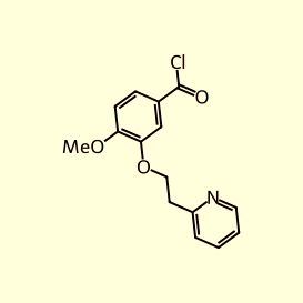 COc1ccc(C(=O)Cl)cc1OCCc1ccccn1